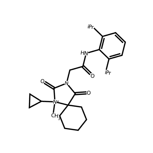 CC(C)c1cccc(C(C)C)c1NC(=O)CN1C(=O)C2(CCCCC2)[N+](C)(C2CC2)C1=O